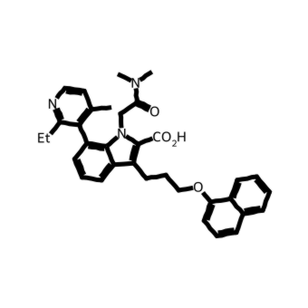 CCc1nccc(C)c1-c1cccc2c(CCCOc3cccc4ccccc34)c(C(=O)O)n(CC(=O)N(C)C)c12